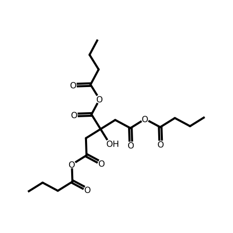 CCCC(=O)OC(=O)CC(O)(CC(=O)OC(=O)CCC)C(=O)OC(=O)CCC